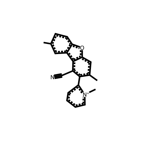 Cc1ccc2oc3cc(C)c(-c4cccc[n+]4C)c(C#N)c3c2c1